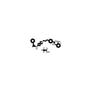 Nc1ccccc1NC(=O)c1ccc(CCCN2CC3(CC(NC4CC4c4ccccc4)C3)C2)cc1.O=C(O)C(F)(F)F